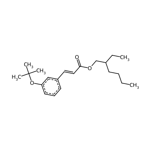 CCCCC(CC)COC(=O)/C=C/c1cccc(OC(C)(C)C)c1